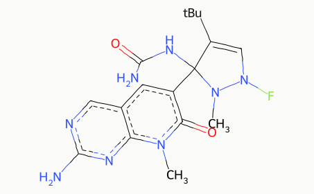 CN1N(F)C=C(C(C)(C)C)C1(NC(N)=O)c1cc2cnc(N)nc2n(C)c1=O